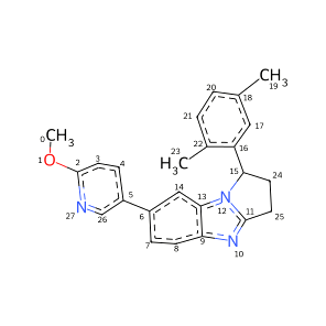 COc1ccc(-c2ccc3nc4n(c3c2)C(c2cc(C)ccc2C)CC4)cn1